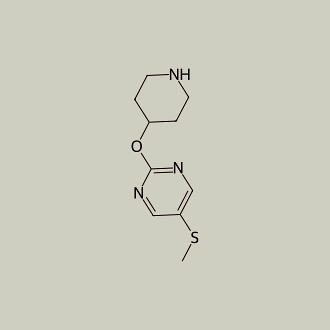 CSc1cnc(OC2CCNCC2)nc1